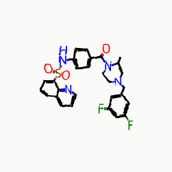 CC1CN(Cc2cc(F)cc(F)c2)CCN1C(=O)c1ccc(NS(=O)(=O)c2cccc3cccnc23)cc1